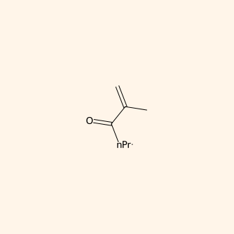 C=C(C)C(=O)[CH]CC